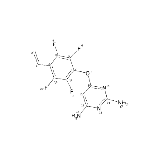 C=Cc1c(F)c(F)c(Oc2cc(N)nc(N)n2)c(F)c1F